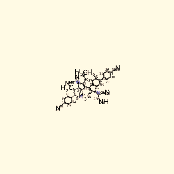 C=CC1=C(/C=C\Cc2ccc(C#N)cc2)C(C2=C(C)/C(=C(/C#N)C=N)c3cc(-c4ccc(C#N)cc4)ccc32)=C(CCC)/C1=C(\N)C#N